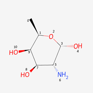 C[C@H]1O[C@H](O)[C@H](N)[C@@H](O)[C@H]1O